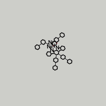 c1ccc(-c2ccc(-c3nc(-c4cccc(-c5ccccc5)c4)nc(-n4c5ccccc5c5c(-c6ccc(-c7ccccc7)cc6)c(-c6ccc(-c7ccccc7)cc6)c6c7ccccc7n(-c7ccccc7)c6c54)n3)cc2)cc1